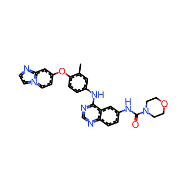 Cc1cc(Nc2ncnc3ccc(NC(=O)N4CCOCC4)cc23)ccc1Oc1ccn2ccnc2c1